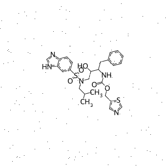 CC(C)CN(CC(O)C(Cc1ccccc1)NC(=O)OCc1cncs1)S(=O)(=O)c1ccc2nc[nH]c2c1